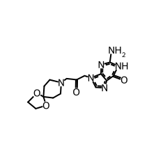 Nc1nc2c(ncn2CC(=O)CN2CCC3(CC2)OCCO3)c(=O)[nH]1